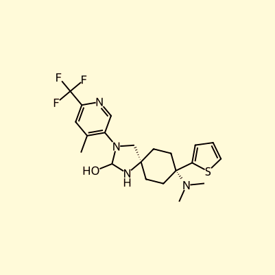 Cc1cc(C(F)(F)F)ncc1N1C[C@]2(CC[C@@](c3cccs3)(N(C)C)CC2)NC1O